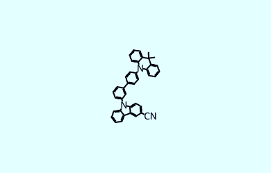 CC1(C)c2ccccc2N(c2ccc(-c3cccc(-n4c5ccccc5c5cc(C#N)ccc54)c3)cc2)c2ccccc21